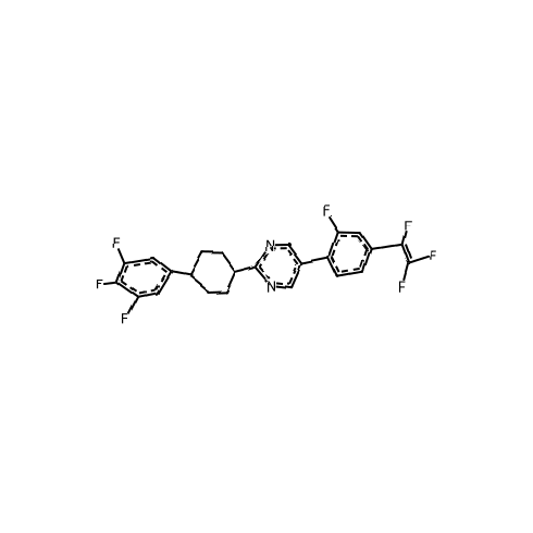 FC(F)=C(F)c1ccc(-c2cnc(C3CCC(c4cc(F)c(F)c(F)c4)CC3)nc2)c(F)c1